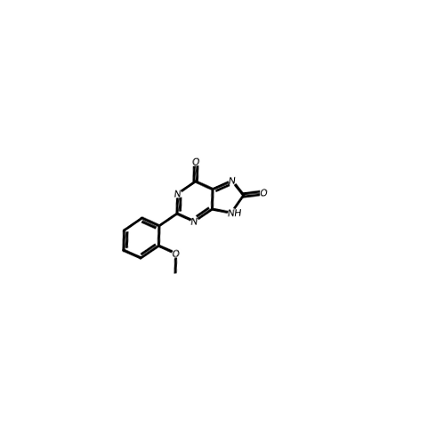 COc1ccccc1C1=NC(=O)C2=NC(=O)NC2=N1